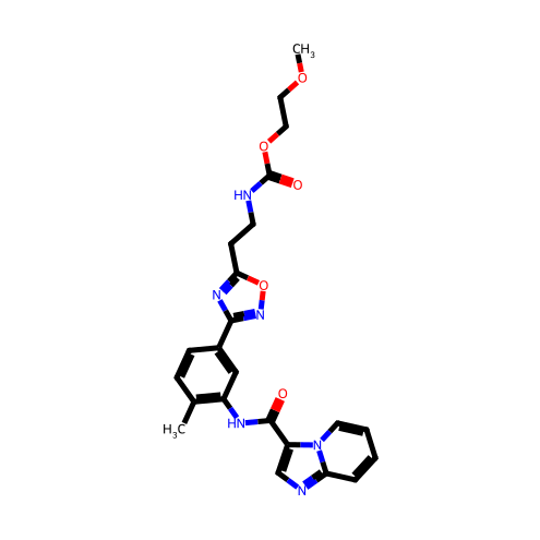 COCCOC(=O)NCCc1nc(-c2ccc(C)c(NC(=O)c3cnc4ccccn34)c2)no1